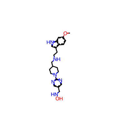 COc1ccc2c(CCNCC3CCN(c4ncc(CNO)cn4)CC3)c[nH]c2c1